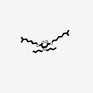 CC(C)CCCCCOC(=O)/C=C\C(=O)OCCCCCC(C)C.CCC[CH2][Sn][CH2]CCC